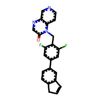 O=c1cnc2cnccc2n1Cc1c(F)cc(-c2ccc3c(c2)C=CC3)cc1F